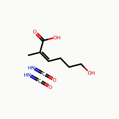 CC(=CCCCO)C(=O)O.N=C=O.N=C=O